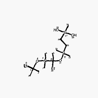 CCC(C)(C)O[Si](C)(C)C(C)(CC)O[Si](C)(C)CC[Si](C)(O)O